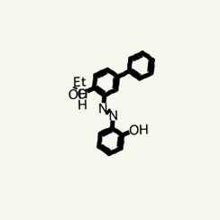 CCO.Oc1ccccc1N=Nc1cc(-c2ccccc2)ccc1O